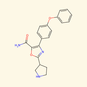 NC(=O)c1oc(C2CCNC2)nc1-c1ccc(Oc2ccccc2)cc1